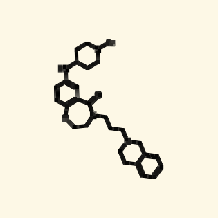 CC(=O)N1CCC(Nc2ccc3c(c2)C(=O)N(CCCN2CCc4ccccc4C2)CCO3)CC1